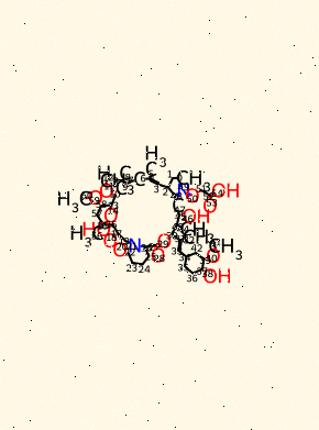 CCC1/C=C(\C)CC(C)CC(OC)C2OC(O)(C(=O)C(=O)N3CCCCC3C(=O)OC(/C(C)=C/C3CCC(O)C(OC)C3)C(C)C(O)C/C1=N\OCC(=O)O)C(C)CC2OC